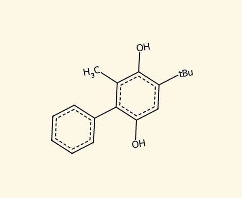 Cc1c(O)c(C(C)(C)C)cc(O)c1-c1ccccc1